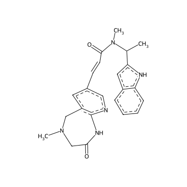 CC(c1cc2ccccc2[nH]1)N(C)C(=O)C=Cc1cnc2c(c1)CN(C)CC(=O)N2